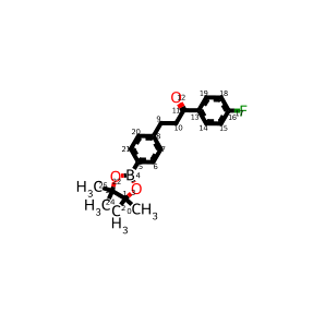 CC1(C)OB(c2ccc(CCC(=O)c3ccc(F)cc3)cc2)OC1(C)C